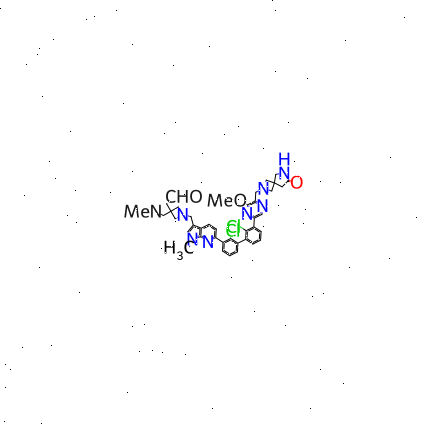 CNCC1(CC=O)CN(Cc2cn(C)c3nc(-c4cccc(-c5cccc(-c6cnc(CN7CC8(CNC(=O)C8)C7)c(OC)n6)c5Cl)c4Cl)ccc23)C1